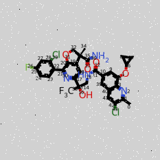 Cc1nc2c(OC3CC3)cc(C(=O)NCC(O)(c3cc4c(c(-c5ccc(F)cc5Cl)n3)OC[C@]4(C)C(N)=O)C(F)(F)F)cc2cc1Cl